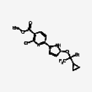 CCC(OC1C=CN(c2ccc(C(=O)OC(C)(C)C)c(Cl)n2)N1)(C1CC1)C(F)(F)F